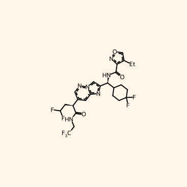 CCc1conc1C(=O)N[C@H](c1cn2ncc([C@H](CC(F)F)C(=O)NCC(F)(F)F)cc2n1)C1CCC(F)(F)CC1